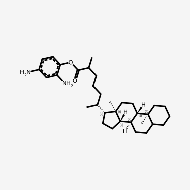 CC(CCCC(C)[C@H]1CC[C@H]2[C@@H]3CCC4CCCC[C@]4(C)[C@H]3CC[C@]12C)C(=O)Oc1ccc(N)cc1N